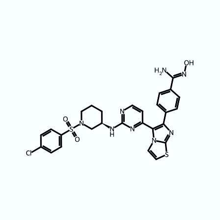 N/C(=N\O)c1ccc(-c2nc3sccn3c2-c2ccnc(N[C@@H]3CCCN(S(=O)(=O)c4ccc(Cl)cc4)C3)n2)cc1